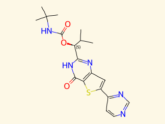 CC(C)[C@H](OC(=O)NC(C)(C)C)c1nc2cc(-c3ccncn3)sc2c(=O)[nH]1